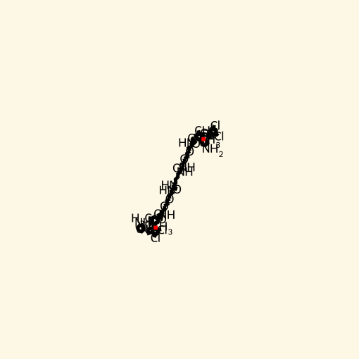 Cc1cc(S(=O)(=O)NCCOCCOCCNC(=O)NCCCCNC(=O)NCCOCCOCCNS(=O)(=O)c2cc(C)c(O[C@H]3c4cc(Cl)cc(Cl)c4C[C@@H]3N3CCC[C@@H](N)C3)c(C)c2)cc(C)c1O[C@H]1c2cc(Cl)cc(Cl)c2C[C@@H]1N1CCC[C@@H](N)C1